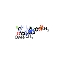 COc1cc(C(=O)N2C[C@H](N)C[C@@H](F)C2)cc2nc(-c3cc4ccc(-c5ccc(CS(C)(=O)=O)cc5Cl)nc4n3CC3CC3)n(C)c12